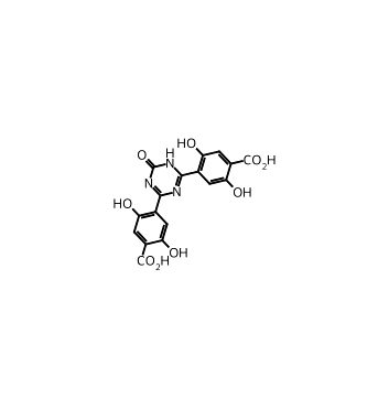 O=C(O)c1cc(O)c(-c2nc(-c3cc(O)c(C(=O)O)cc3O)[nH]c(=O)n2)cc1O